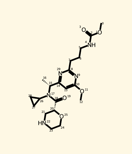 COC(=O)NCCCc1nc(OC)cc([C@@H](C)N(C(=O)[C@H]2CNCCO2)C2CC2)n1